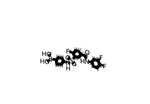 O=C(Nc1ccc(F)c(F)c1)c1ccc(F)c(S(=O)(=O)Nc2ccc(B(O)O)cc2)c1